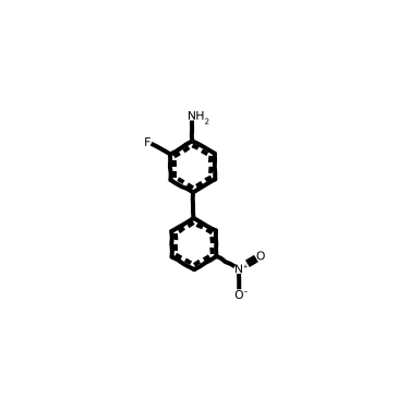 Nc1ccc(-c2cccc([N+](=O)[O-])c2)cc1F